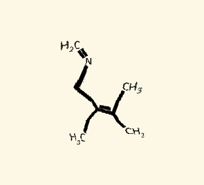 C=NCC(C)=C(C)C